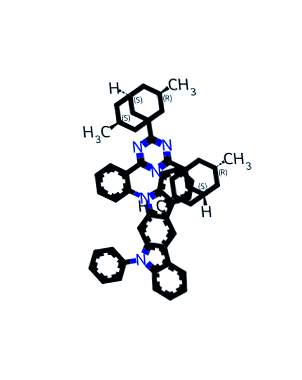 C[C@@H]1C[C@@H]2C[C@H](C)CC(c3nc(-c4ccccc4-n4c5ccccc5c5cc6c7ccccc7n(-c7ccccc7)c6cc54)nc(C45C[C@H](C)C[C@H](C[C@H](C)C4)C5)n3)(C1)C2